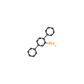 Pc1cc(-c2ccccc2)ccc1-c1ccccc1